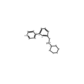 c1cc(CNC2CCCCC2)cc(-c2ccncc2)c1